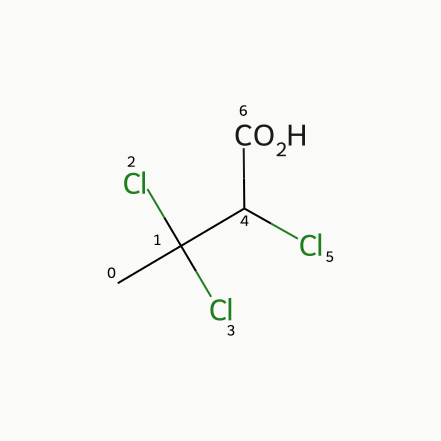 CC(Cl)(Cl)C(Cl)C(=O)O